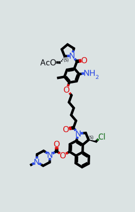 CC(=O)OC[C@@H]1CCCN1C(=O)c1cc(C)c(OCCCCCC(=O)N2C[C@@H](CCl)c3c2cc(OC(=O)N2CCN(C)CC2)c2ccccc32)cc1N